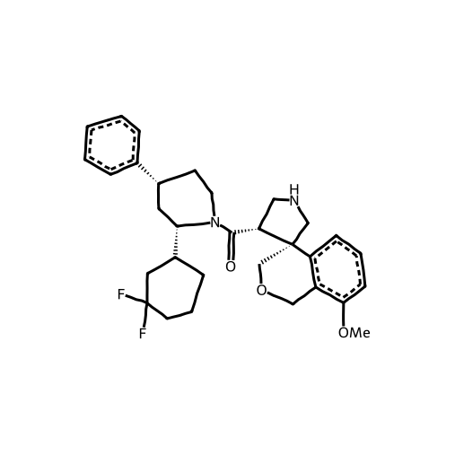 COc1cccc2c1COC[C@]21CNC[C@H]1C(=O)N1CC[C@@H](c2ccccc2)C[C@H]1C1CCCC(F)(F)C1